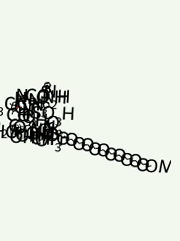 COCCOCCOCCOCCOCCOCCOCCOCCOCCOCCOCCOc1ccc(C[C@@H](C(=O)N[C@H](C(=O)N[C@@H](C)C(=O)Nc2ccc(COC(=O)N(CCOC34CC5(C)CC(C)(CC(Cn6ncc(-c7ccc(N8CCc9cccc(C(=O)Nc%10nc%11ccccc%11s%10)c9C8)nc7C(=O)O)c6C)(C5)C3)C4)CCS(=O)(=O)O)c(CC[C@@H]3O[C@H](C(=O)O)[C@@H](O)[C@H](O)[C@H]3O)c2)C(C)C)N2C(=O)C=CC2=O)cc1